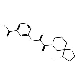 C[C@H]1CCOC12CCCN(C(=O)C(=O)Nc1cncc(C(N)=O)c1)C2